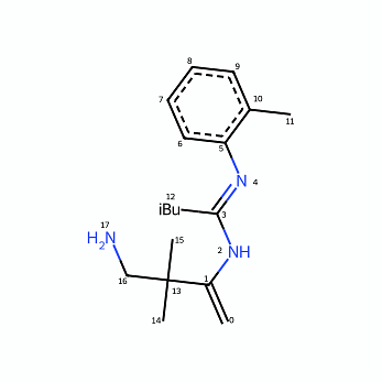 C=C(N/C(=N/c1ccccc1C)C(C)CC)C(C)(C)CN